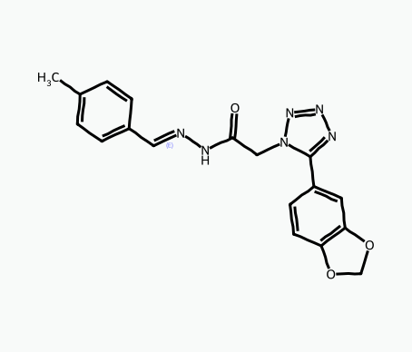 Cc1ccc(/C=N/NC(=O)Cn2nnnc2-c2ccc3c(c2)OCO3)cc1